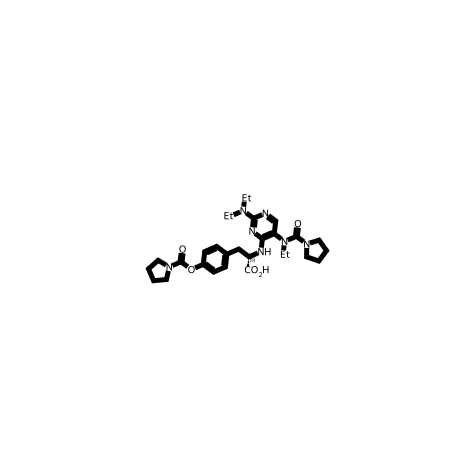 CCN(CC)c1ncc(N(CC)C(=O)N2CCCC2)c(N[C@@H](Cc2ccc(OC(=O)N3CCCC3)cc2)C(=O)O)n1